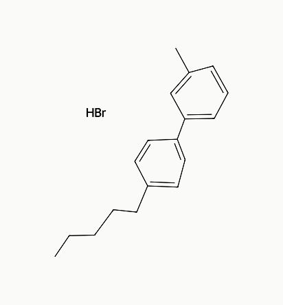 Br.CCCCCc1ccc(-c2cccc(C)c2)cc1